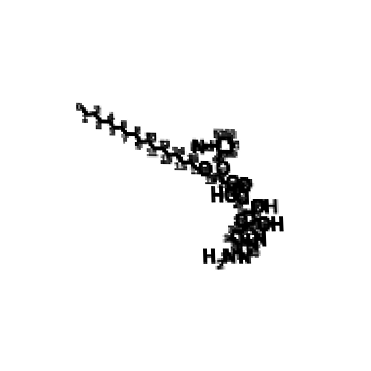 CCCCCCCCCCCCCCCCCCOC[C@H](COP(=O)(O)OC[C@H]1O[C@@](C#N)(c2ccc3c(N)ncnn23)[C@H](O)[C@@H]1O)OCc1ccccc1C#N